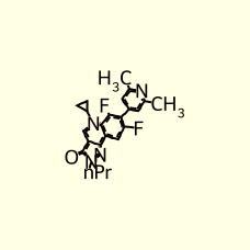 CCCn1nc2c3cc(F)c(-c4cc(C)nc(C)c4)c(F)c3n(C3CC3)cc-2c1=O